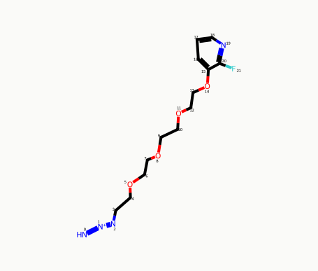 N=[N+]=NCCOCCOCCOCCOc1cccnc1F